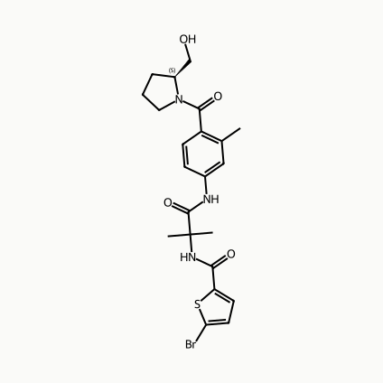 Cc1cc(NC(=O)C(C)(C)NC(=O)c2ccc(Br)s2)ccc1C(=O)N1CCC[C@H]1CO